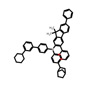 CC1(C)c2cc(-c3ccccc3)ccc2-c2cc(-c3ccccc3)c(N(c3ccc(-c4cccc(C5CCCCC5)c4)cc3)c3ccc(C4CC5CCC4C5)cc3)cc21